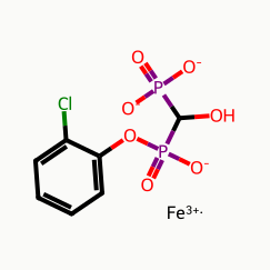 O=P([O-])([O-])C(O)P(=O)([O-])Oc1ccccc1Cl.[Fe+3]